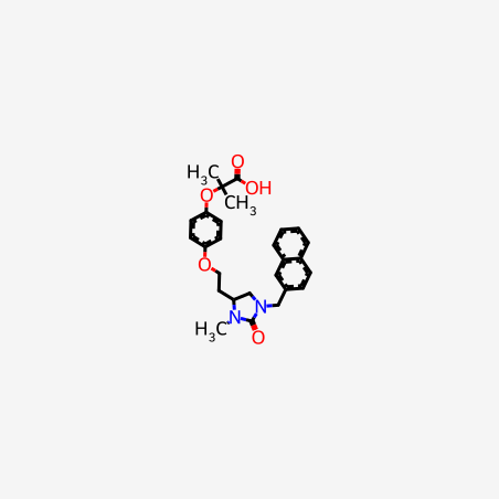 CN1C(=O)N(Cc2ccc3ccccc3c2)CC1CCOc1ccc(OC(C)(C)C(=O)O)cc1